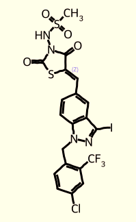 CS(=O)(=O)NN1C(=O)S/C(=C\c2ccc3c(c2)c(I)nn3Cc2ccc(Cl)cc2C(F)(F)F)C1=O